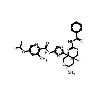 Cc1cc(OC(F)F)cnc1C(=O)Nc1csc(C23CO[C@@H](C)C[C@H]2CSC(NC(=O)c2ccccc2)=N3)n1